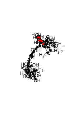 CCC(=O)N[C@H]1C([C@H](O)[C@H](O)CO)O[C@@](O[C@@H]2C(O)[C@H](O[C@@H]3C(CO)O[C@@H](OCCn4cc(CCC(=O)NCCO[C@H]5OC(CO[C@@H]6OC(CO)[C@@H](OP(=O)(O)O)[C@H](OC(=O)C[C@@H](CC)OC(=O)CC)C6NC(=O)C[C@@H](CC)OC(=O)CC)[C@@H](O)[C@H](OC(=O)C[C@H](O)CC)C5NC(=O)C[C@H](O)CC)nn4)C(O)[C@H]3O)OC(CO)[C@@H]2O)(C(=O)O)C[C@H]1O